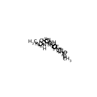 CCN1CCC(Nc2c(Cl)cnc3[nH]c(-c4ccc(N5CCN(C(=O)COC)CC5)cc4)nc23)CC1